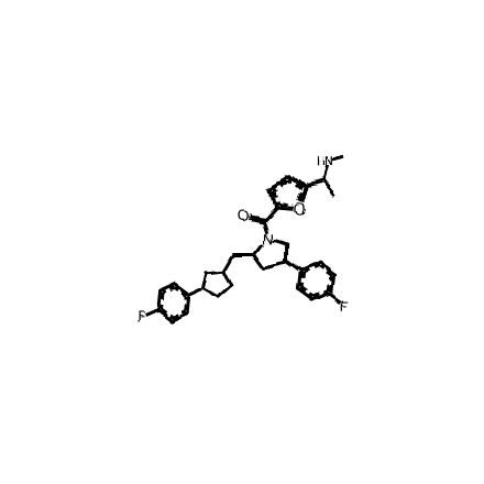 CNC(C)c1ccc(C(=O)N2CC(c3ccc(F)cc3)CC2CC2CCC(c3ccc(F)cc3)C2)o1